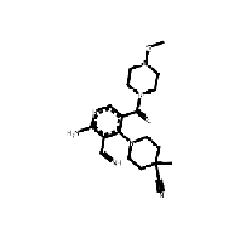 CSN1CCN(C(=O)c2cnc(N)c(C=N)c2N2CCC(C)(C#N)CC2)CC1